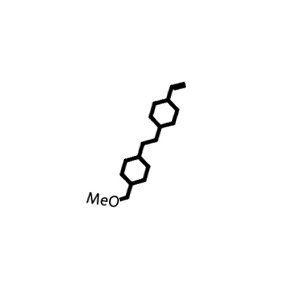 C=CC1CCC(CCC2CCC(COC)CC2)CC1